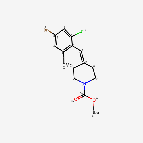 COc1cc(Br)cc(Cl)c1C=C1CCN(C(=O)OC(C)(C)C)CC1